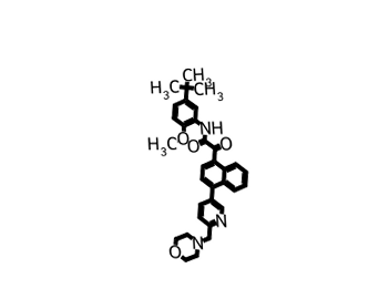 COc1ccc(C(C)(C)C)cc1NC(=O)C(=O)c1ccc(-c2ccc(CN3CCOCC3)nc2)c2ccccc12